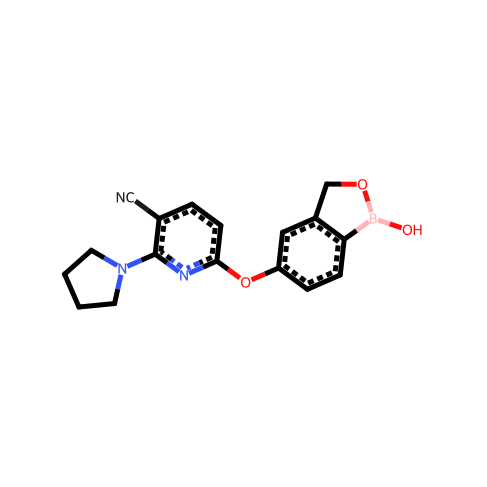 N#Cc1ccc(Oc2ccc3c(c2)COB3O)nc1N1CCCC1